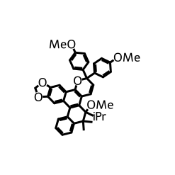 COc1ccc(C2(c3ccc(OC)cc3)C=Cc3c4c(c5cc6c(cc5c3O2)OCO6)-c2ccccc2C(C)(C)C4(OC)C(C)C)cc1